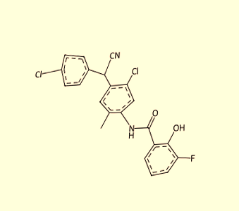 Cc1cc(C(C#N)c2ccc(Cl)cc2)c(Cl)cc1NC(=O)c1cccc(F)c1O